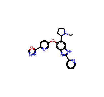 CC(=O)N1CCCC1c1cc2[nH]c(-c3ccccn3)nc2cc1Oc1ccc(-c2nnco2)nc1